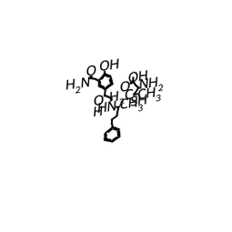 CC(C)(S)[C@@H](N)C(=O)O.CC(CCc1ccccc1)NCC(O)c1ccc(O)c(C(N)=O)c1